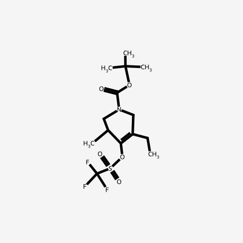 CCC1=C(OS(=O)(=O)C(F)(F)F)C(C)CN(C(=O)OC(C)(C)C)C1